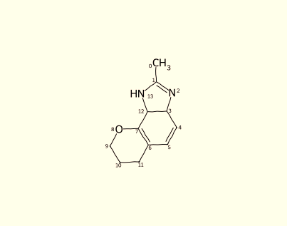 CC1=NC2C=CC3=C(OCCC3)C2N1